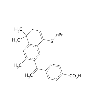 C=C(c1ccc(C(=O)O)cc1)c1cc2c(cc1C)C(C)(C)CC=C2SCCC